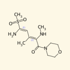 CN/C(C(=O)N1CCOCC1)=C(C)\C=C(/N)S(C)(=O)=O